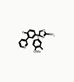 COc1ccc([C@]2(c3ccc(F)c(-c4cccnc4)c3)COC(N)=N2)cc1C